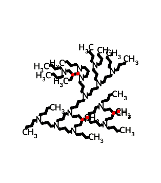 CCCCN(CCCC)CCCN(CCCN(CCCC)CCCC)CCCN(CCCCN(CCCN(CCCN(CCCC)CCCC)CCCN(CCCC)CCCC)CCCN(CCCN(CCCC)CCCC)CCCN(CCCC)CCCC)CCCN(CCCN(CCCC)CCCC)CCCN(CCCC)CCCC